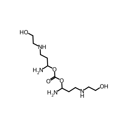 NC(CCNCCO)OC(=O)OC(N)CCNCCO